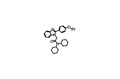 CC(C)Oc1ccc(-c2nc3ccccc3n2CC(=O)N(C2CCCCC2)C2CCCCC2)cc1